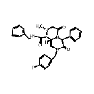 CN1CC(=O)N2C(c3ccccc3)C(=O)N(Cc3ccc(F)cc3)C[C@@H]2N1C(=O)NCc1ccccc1